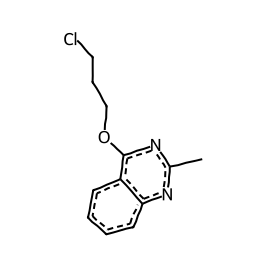 Cc1nc(OCCCCl)c2ccccc2n1